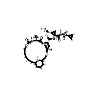 C=C[C@@H]1C[C@]1(NC(=O)[C@@H]1C[C@@H]2CN1C(=O)[C@H](C(C)(C)C)NC(=O)OCCCCCC1CCCC(CO2)N1)C(=O)NS(=O)(=O)C1CC1